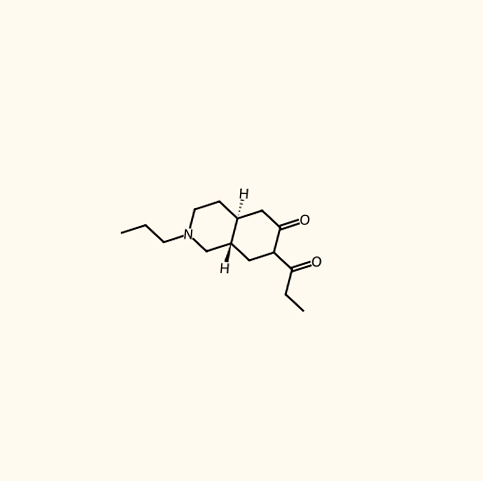 CCCN1CC[C@H]2CC(=O)C(C(=O)CC)C[C@@H]2C1